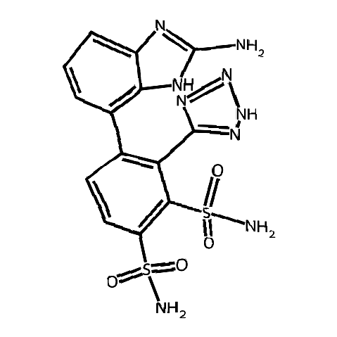 Nc1nc2cccc(-c3ccc(S(N)(=O)=O)c(S(N)(=O)=O)c3-c3nn[nH]n3)c2[nH]1